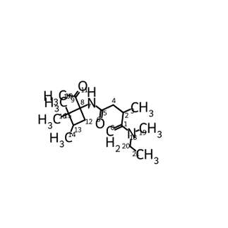 C=C(C(C)CC(=O)NC1(C(C)=O)CC(C)C1(C)C)N(C)CC